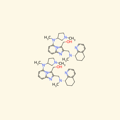 CN1CCC(N(C)c2cccc3nc(CN(C)[C@H]4CCCc5cccnc54)c(CO)n23)C1.CN1CCC(N(C)c2cccc3nc(CN(C)[C@H]4CCCc5cccnc54)c(CO)n23)C1